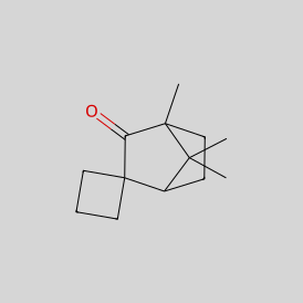 CC12CCC(C3(CCC3)C1=O)C2(C)C